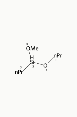 CCCO[SiH](CCC)OC